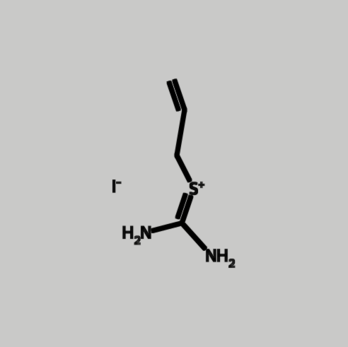 C=CC[S+]=C(N)N.[I-]